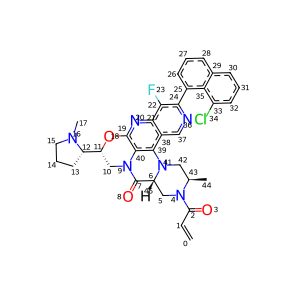 C=CC(=O)N1C[C@@H]2C(=O)N3C[C@H]([C@@H]4CCCN4C)Oc4nc5c(F)c(-c6cccc7cccc(Cl)c67)ncc5c(c43)N2C[C@H]1C